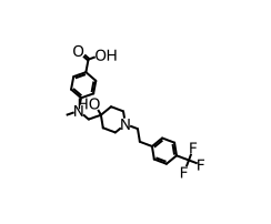 CN(CC1(O)CCN(CCc2ccc(C(F)(F)F)cc2)CC1)c1ccc(C(=O)O)cc1